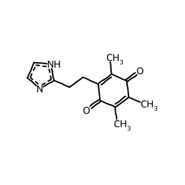 CC1=C(C)C(=O)C(CCc2ncc[nH]2)=C(C)C1=O